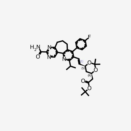 CC(C)c1nc2c(c(-c3ccc(F)cc3)c1/C=C/[C@@H]1C[C@H](CC(=O)OC(C)(C)C)OC(C)(C)O1)CCCc1nc(C(N)=O)ncc1-2